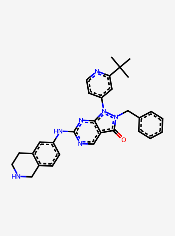 CC(C)(C)c1cc(-n2c3nc(Nc4ccc5c(c4)CCNC5)ncc3c(=O)n2Cc2ccccc2)ccn1